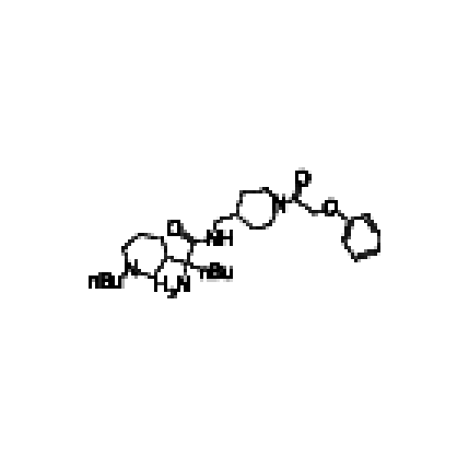 CCCCN1CCCC(C(N)(CCCC)C(=O)NCC2CCN(C(=O)COc3ccccc3)CC2)C1